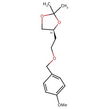 COc1ccc(COCC[C@H]2COC(C)(C)O2)cc1